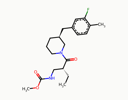 CC[C@H](CNC(=O)OC)C(=O)N1CCC[C@@H](Cc2ccc(C)c(F)c2)C1